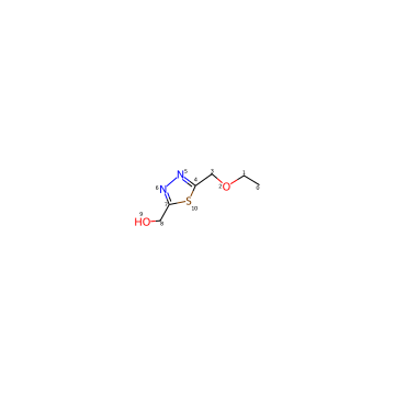 CCOCc1nnc(CO)s1